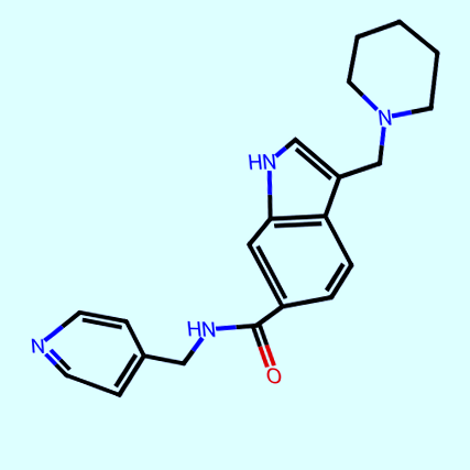 O=C(NCc1ccncc1)c1ccc2c(CN3CCCCC3)c[nH]c2c1